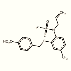 C=CCN(c1ccc(C(F)(F)F)cc1OCc1ccc(C(=O)O)cc1)S(=O)(=O)CCC